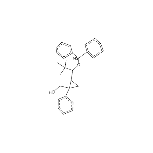 CC(C)(C)C(O[SiH](c1ccccc1)c1ccccc1)C1CC1(CO)c1ccccc1